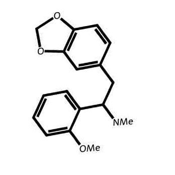 CNC(Cc1ccc2c(c1)OCO2)c1ccccc1OC